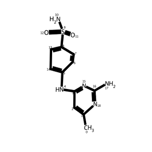 Cc1cc(Nc2ccc(S(N)(=O)=O)cc2)nc(N)n1